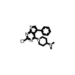 CN(C)C1CCN(c2nc(Cl)nc3scc(-c4ccccc4)c23)CC1